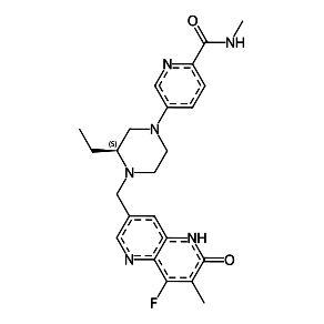 CC[C@H]1CN(c2ccc(C(=O)NC)nc2)CCN1Cc1cnc2c(F)c(C)c(=O)[nH]c2c1